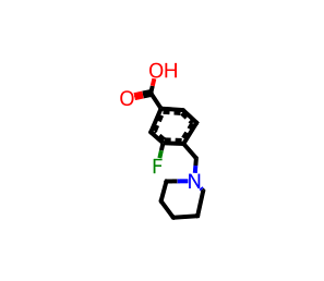 O=C(O)c1ccc(CN2CCCCC2)c(F)c1